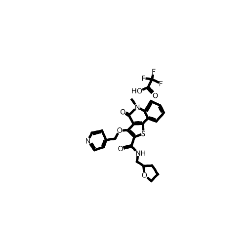 Cn1c(=O)c2c(OCc3ccncc3)c(C(=O)NCC3CCCO3)sc2c2ccccc21.O=C(O)C(F)(F)F